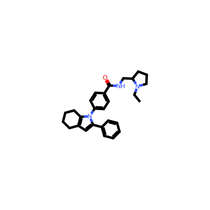 CCN1CCCC1CNC(=O)c1ccc(-n2c(-c3ccccc3)cc3c2CCCC3)cc1